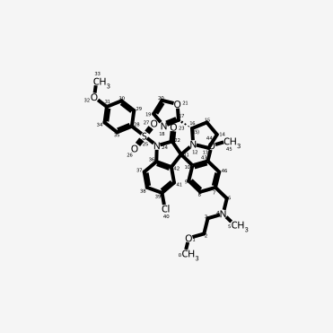 COCCN(C)Cc1ccc(C2(N3CCC[C@H]3c3ncco3)C(=O)N(S(=O)(=O)c3ccc(OC)cc3)c3ccc(Cl)cc32)c(OC)c1